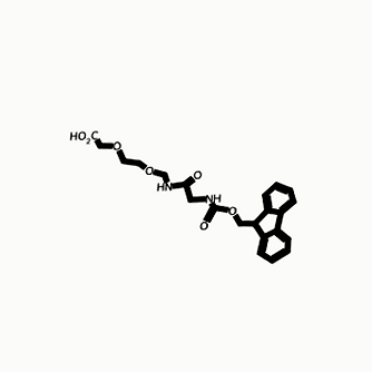 O=C(O)COCCOCNC(=O)CNC(=O)OCC1c2ccccc2-c2ccccc21